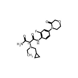 CCN(CC1CC1)[C@@H](C(N)=O)C(=O)Nc1ccc(N2CCOCC2=O)cc1F